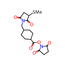 CSC1CC(=O)N(CC2CCC(C(=O)ON3C(=O)CCC3=O)CC2)C1=O